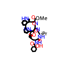 COC(=O)c1nc2oc1-c1c[nH]c3cccc(c13)-c1cccc3c1NC1Oc4ccc5cc4[C@]31c1oc(nc1-2)[C@H](C(C)C)NC(=O)[C@@H](NC(=O)C1(O)CCCCC1)C5